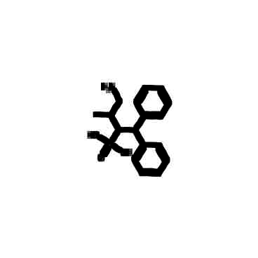 CC(CN)C(C(c1ccccc1)c1ccccc1)P(=O)(O)O